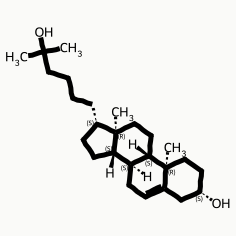 CC(C)(O)CCCC[C@H]1CC[C@H]2[C@@H]3CC=C4C[C@@H](O)CC[C@]4(C)[C@H]3CC[C@]12C